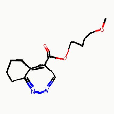 COCCCOC(=O)c1cnnc2c1CCCC2